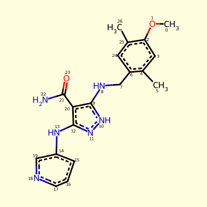 COc1cc(C)c(CNc2[nH]nc(Nc3cccnc3)c2C(N)=O)cc1C